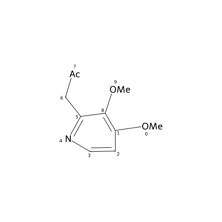 COc1ccnc(CC(C)=O)c1OC